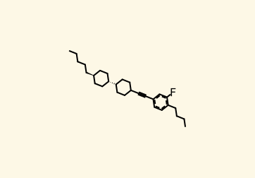 CCCCC[C@H]1CC[C@H](C2CCC(C#Cc3ccc(CCCC)c(F)c3)CC2)CC1